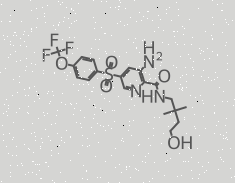 CC(C)(CCO)CNC(=O)c1ncc(S(=O)(=O)c2ccc(OC(F)(F)F)cc2)cc1N